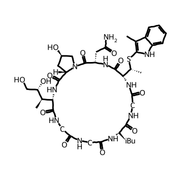 CC[C@H](C)[C@@H]1NC(=O)CNC(=O)CNC(=O)[C@H]([C@@H](C)[C@@H](O)CO)NC(=O)[C@@H]2C[C@@H](O)CN2C(=O)[C@H](CC(N)=O)NC(=O)[C@H]([C@@H](C)Sc2[nH]c3ccccc3c2C)NC(=O)CNC1=O